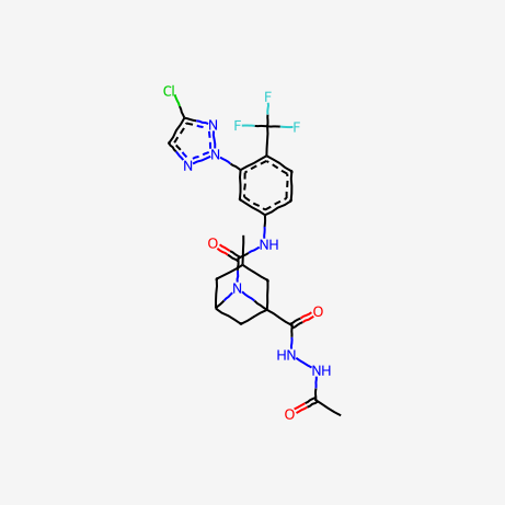 CC(=O)NNC(=O)C12CC(C)CC(C1)N2C(=O)Nc1ccc(C(F)(F)F)c(-n2ncc(Cl)n2)c1